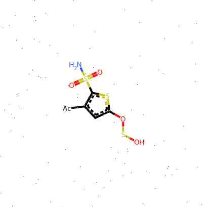 CC(=O)c1cc(OSO)sc1S(N)(=O)=O